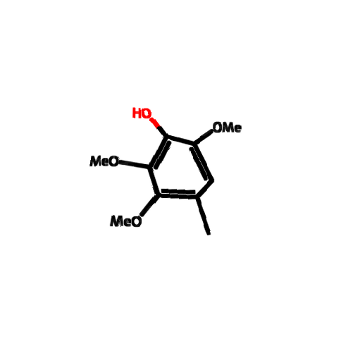 COc1cc(C)c(OC)c(OC)c1O